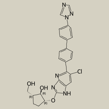 OC[C@H]1CC[C@@H](Oc2nc3nc(-c4ccc(-c5ccc(-n6cncn6)cc5)cc4)c(Cl)cc3[nH]2)[C@@H]1O